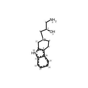 NC[C@@H](O)CN1CCc2c([nH]c3ccccc23)C1